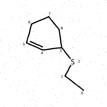 CCSC1C=CCCC1